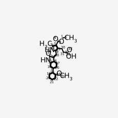 CCOC(=O)c1c(C)[nH]c(C=C2C(=O)Nc3cc(-c4ccccc4OC)ccc32)c1CCC(=O)O